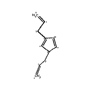 C=CCC1=CC(CC=C)[C]=C1